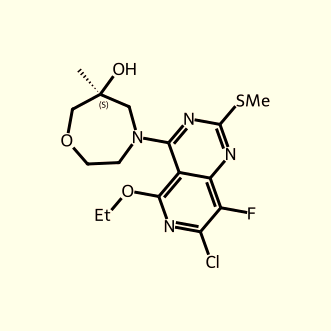 CCOc1nc(Cl)c(F)c2nc(SC)nc(N3CCOC[C@@](C)(O)C3)c12